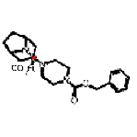 O=C(O)ON1C2CCC1CC(N1CCN(C(=O)OCc3ccccc3)CC1)C2